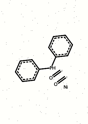 [C]=O.[C]=O.[Ni].c1ccc(Pc2ccccc2)cc1